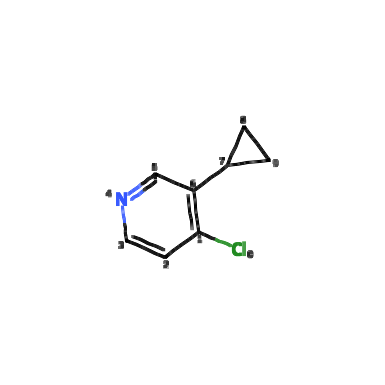 Clc1ccn[c]c1C1CC1